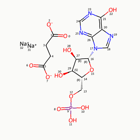 O=C([O-])CCC(=O)[O-].O=P(O)(O)OC[C@H]1O[C@@H](n2cnc3c(O)ncnc32)[C@H](O)[C@@H]1O.[Na+].[Na+]